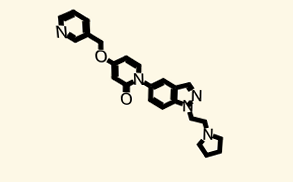 O=c1cc(OCc2cccnc2)ccn1-c1ccc2c(cnn2CCN2CCCC2)c1